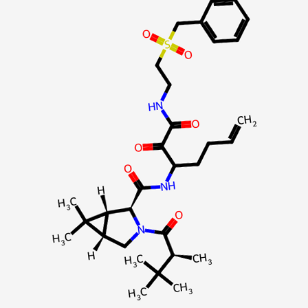 C=CCCC(NC(=O)[C@@H]1[C@@H]2[C@H](CN1C(=O)[C@@H](C)C(C)(C)C)C2(C)C)C(=O)C(=O)NCCS(=O)(=O)Cc1ccccc1